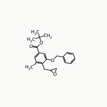 Cc1cc(C(=O)OC(C)(C)C)cc(OCc2ccccc2)c1CC1CO1